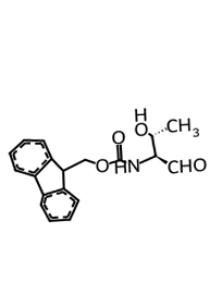 C[C@@H](O)[C@@H](C=O)NC(=O)OCC1c2ccccc2-c2ccccc21